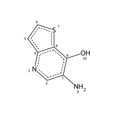 Nc1cnc2ccsc2c1O